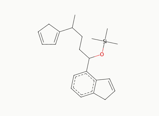 CC(CCC(O[Si](C)(C)C)c1cccc2c1C=CC2)C1=CC=CC1